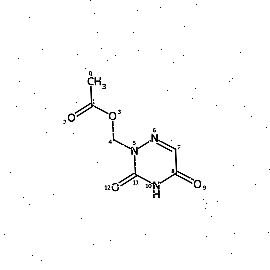 CC(=O)OCn1ncc(=O)[nH]c1=O